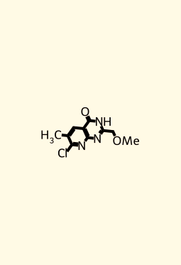 COCc1nc2nc(Cl)c(C)cc2c(=O)[nH]1